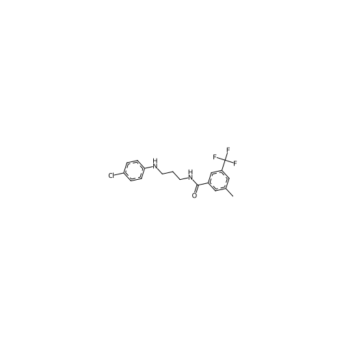 Cc1cc(C(=O)NCCCNc2ccc(Cl)cc2)cc(C(F)(F)F)c1